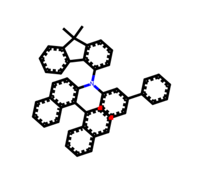 CC1(C)c2ccccc2-c2c(N(c3cccc(-c4ccccc4)c3)c3ccc4ccccc4c3-c3cccc4ccccc34)cccc21